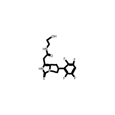 O=C(Cc1[nH]c(=S)n2c1CC(c1c(F)c(F)cc(F)c1F)C2)NCCO